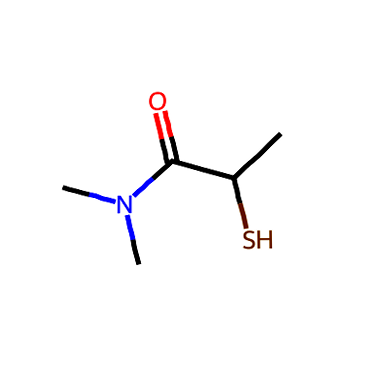 CC(S)C(=O)N(C)C